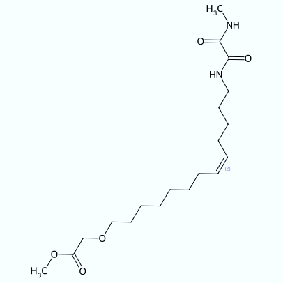 CNC(=O)C(=O)NCCCC/C=C\CCCCCCCOCC(=O)OC